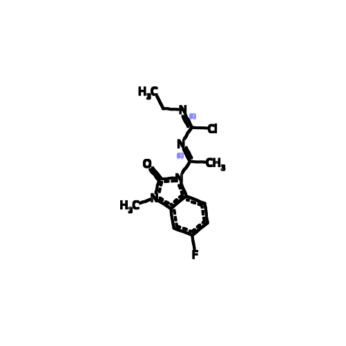 CC/N=C(Cl)\N=C(/C)n1c(=O)n(C)c2cc(F)ccc21